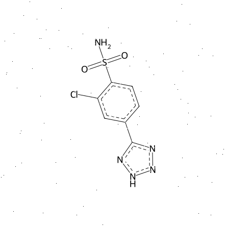 NS(=O)(=O)c1ccc(-c2nn[nH]n2)cc1Cl